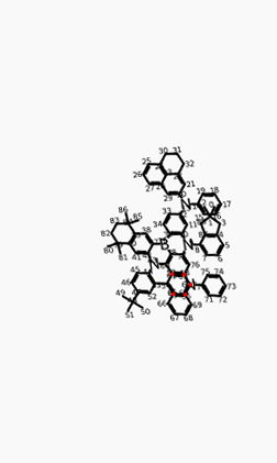 CC1(C)Cc2cccc(N3c4cc(N(c5ccccc5)c5cc6c7c(cccc7c5)CCC6)ccc4B4c5cc6c(cc5N(c5ccc(C(C)(C)C)cc5-c5ccccc5)c5cc(N(c7ccccc7)c7ccccc7)cc3c54)C(C)(C)CCC6(C)C)c2C1